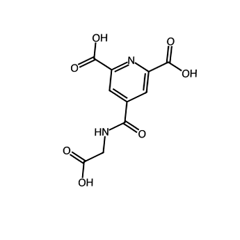 O=C(O)CNC(=O)c1cc(C(=O)O)nc(C(=O)O)c1